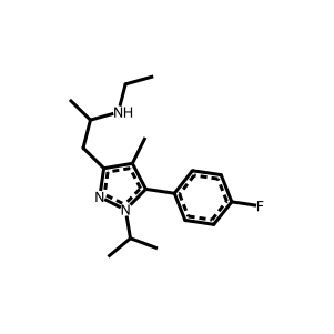 CCNC(C)Cc1nn(C(C)C)c(-c2ccc(F)cc2)c1C